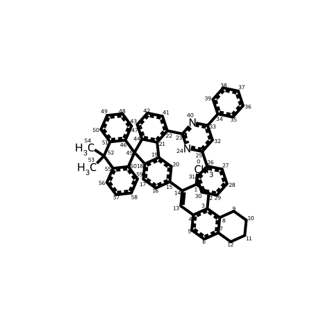 CC1Cc2c(ccc3c2CCCC3)C=C1c1ccc2c(c1)-c1c(-c3nc(-c4ccccc4)cc(-c4ccccc4)n3)cccc1C21c2ccccc2C(C)(C)c2ccccc21